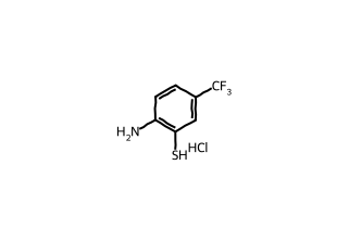 Cl.Nc1ccc(C(F)(F)F)cc1S